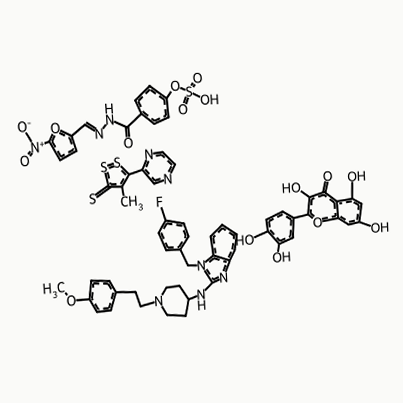 COc1ccc(CCN2CCC(Nc3nc4ccccc4n3Cc3ccc(F)cc3)CC2)cc1.Cc1c(-c2cnccn2)ssc1=S.O=C(N/N=C/c1ccc([N+](=O)[O-])o1)c1ccc(OS(=O)(=O)O)cc1.O=c1c(O)c(-c2ccc(O)c(O)c2)oc2cc(O)cc(O)c12